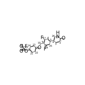 O=c1ccc(-c2cc(F)c(COc3ccc(OS(=O)(=O)F)cc3)c(F)c2)c[nH]1